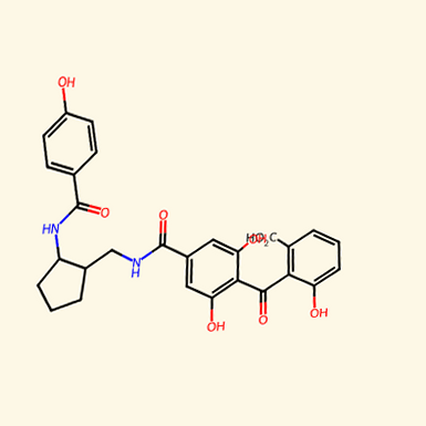 O=C(NCC1CCCC1NC(=O)c1ccc(O)cc1)c1cc(O)c(C(=O)c2c(O)cccc2C(=O)O)c(O)c1